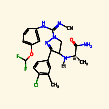 CCN(C1CN(C(=NC#N)Nc2cccc(OC(F)F)c2)N=C1c1ccc(Cl)c(C)c1)[C@@H](C)C(N)=O